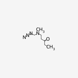 CCC(=O)CCN(C)CN=[N+]=[N-]